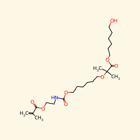 C=C(C)C(=O)OCCNC(=O)OCCCCCCOC(C)(C)C(=O)OCCCCCCO